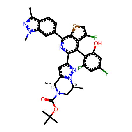 Cc1nn(C)c2cc(-c3nc(-c4cc5n(n4)[C@@H](C)CN(C(=O)OC(C)(C)C)[C@@H]5C)c(-c4c(O)cc(F)cc4F)c4c(F)csc34)ccc12